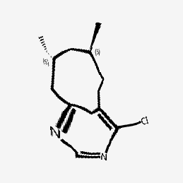 C[C@H]1Cc2ncnc(Cl)c2C[C@@H]1C